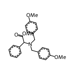 COC(=O)C(c1ccccc1)N(Cc1ccc(OC)cc1)Cc1ccc(OC)cc1